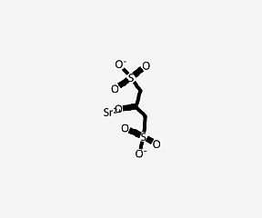 O=C(CS(=O)(=O)[O-])CS(=O)(=O)[O-].[Sr+2]